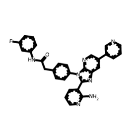 Nc1ncccc1-c1nc2cc(-c3cccnc3)cnc2n1-c1ccc(CC(=O)Nc2cccc(F)c2)cc1